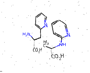 C[C@H](Nc1ccccn1)C(=O)O.N[C@H](Cc1ccccn1)C(=O)O